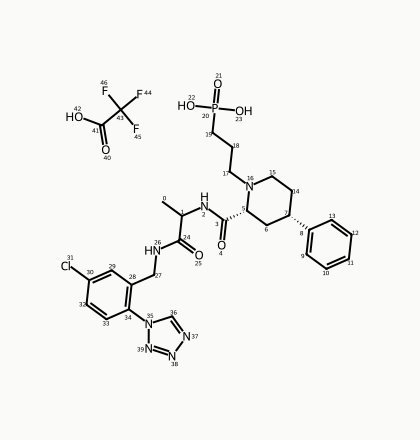 CC(NC(=O)[C@H]1C[C@@H](c2ccccc2)CCN1CCCP(=O)(O)O)C(=O)NCc1cc(Cl)ccc1-n1cnnn1.O=C(O)C(F)(F)F